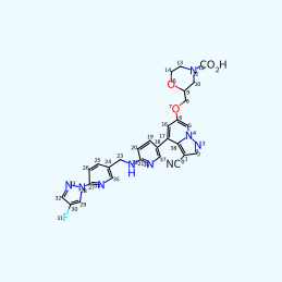 N#Cc1cnn2cc(OCC3CN(C(=O)O)CCO3)cc(-c3ccc(NCc4ccc(-n5cc(F)cn5)nc4)nc3)c12